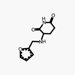 O=C1CCC(NCc2ccco2)C(=O)N1